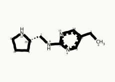 CCc1cnc(NC[C@@H]2CCCN2)nc1